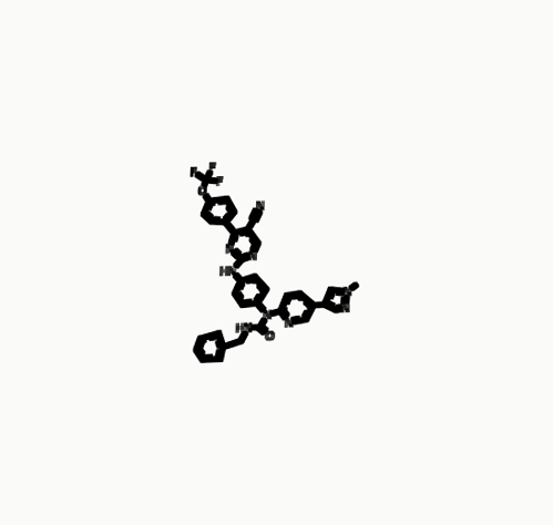 Cn1cc(-c2ccc(N(C(=O)NCc3ccccc3)c3ccc(Nc4ncc(C#N)c(-c5ccc(OC(F)(F)F)cc5)n4)cc3)nc2)cn1